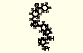 CC(C)c1cnnc(Nc2ccc3ncc(-c4cnn(CC5CCN(C(=O)C6CCCCC6)CC5)c4)cc3n2)c1